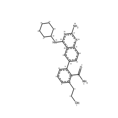 NC(=O)c1c(CCO)cccc1-c1ccc2nc(N)nc(NC3CCCCC3)c2c1